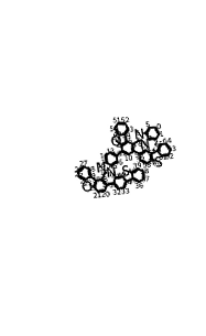 c1ccc2c(c1)nc1c3c(cc(-c4ccc5nc6c7c(ccc8oc9ccccc9c87)c7ccc8c9ccccc9sc8c7n6c5c4)c4oc5ccccc5c43)c3ccc4sc5ccccc5c4c3n21